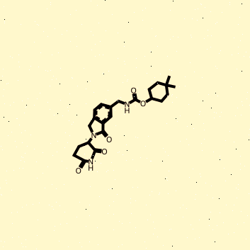 CC1(C)CCC(OC(=O)NCc2ccc3c(c2)C(=O)N(C2CCC(=O)NC2=O)C3)CC1